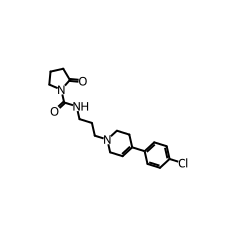 O=C1CCCN1C(=O)NCCCN1CC=C(c2ccc(Cl)cc2)CC1